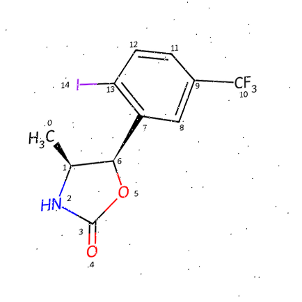 C[C@@H]1NC(=O)O[C@@H]1c1cc(C(F)(F)F)ccc1I